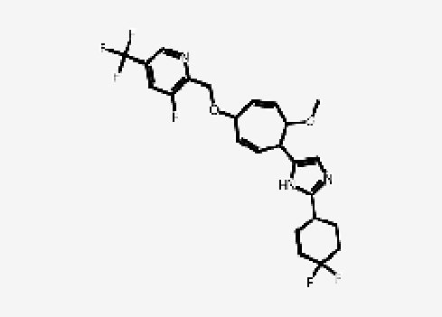 COC1C=CC(OCc2ncc(C(F)(F)F)cc2F)C=CC1c1cnc(C2CCC(F)(F)CC2)[nH]1